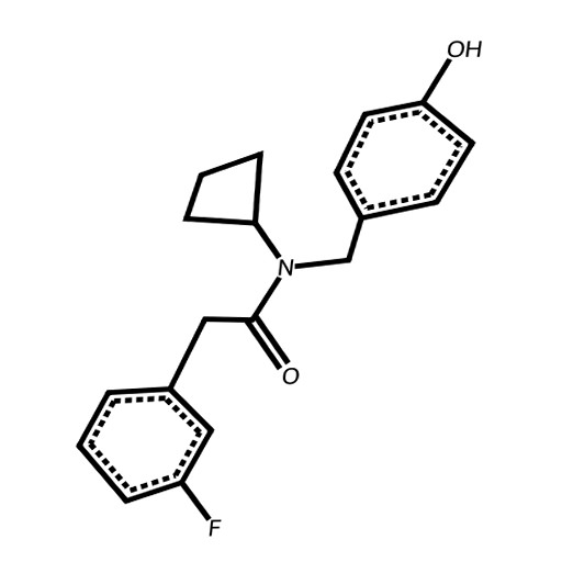 O=C(Cc1cccc(F)c1)N(Cc1ccc(O)cc1)C1CCC1